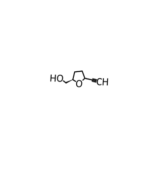 C#CC1CC[C@H](CO)O1